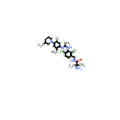 C/C(=N\c1cc(Cl)c(N2CCCC(C(F)(F)F)C2)cc1C)Nc1c(Cl)ccc(CNC(=O)C(C)(N)C(F)(F)F)c1Cl